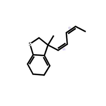 C/C=C\C=C/C1(C)CSC2=CCCC=C21